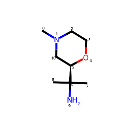 CN1CCO[C@@H](C(C)(C)N)C1